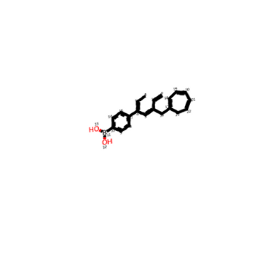 C=C/C(=C\C(=C/C)c1ccc(B(O)O)cc1)CC1=CC=CC=CC1